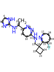 C=C(Nc1ncc[nH]1)c1ccc(NCC2(c3ncccc3F)CCC2)nn1